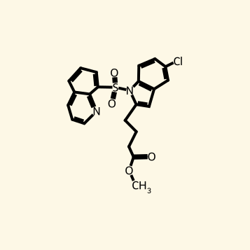 COC(=O)CCCc1cc2cc(Cl)ccc2n1S(=O)(=O)c1cccc2cccnc12